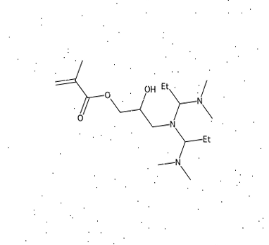 C=C(C)C(=O)OCC(O)CN(C(CC)N(C)C)C(CC)N(C)C